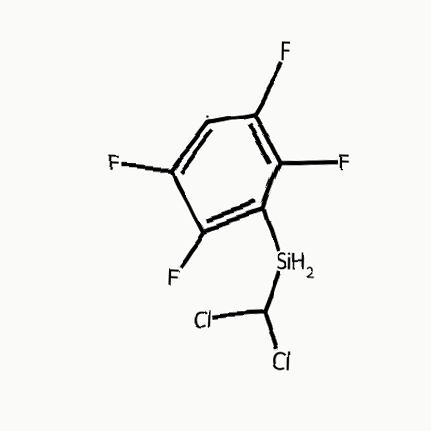 Fc1[c]c(F)c(F)c([SiH2]C(Cl)Cl)c1F